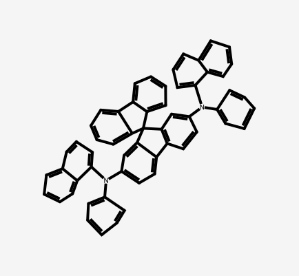 c1ccc(N(c2ccc3c(c2)C2(c4ccccc4-c4ccccc42)c2cc(N(c4ccccc4)c4cccc5ccccc45)ccc2-3)c2cccc3ccccc23)cc1